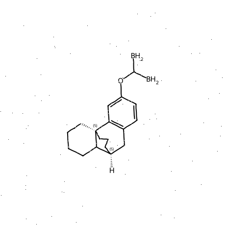 BC(B)Oc1ccc2c(c1)[C@]13CCCCC1[C@@H](CCC3)C2